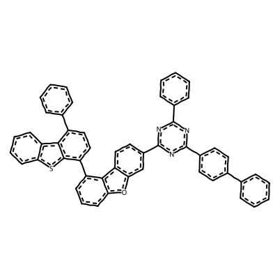 c1ccc(-c2ccc(-c3nc(-c4ccccc4)nc(-c4ccc5c(c4)oc4cccc(-c6ccc(-c7ccccc7)c7c6sc6ccccc67)c45)n3)cc2)cc1